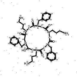 NCCCN1CC(=O)N(Cc2ccccc2)CC(=O)N(CCCN)CC(O)N(Cc2ccccc2)CC(=O)N(CCCN)CC(=O)N(Cc2ccccc2)CC1=O